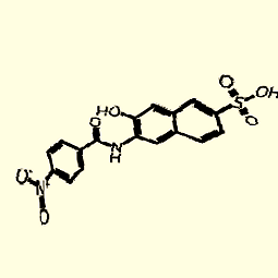 O=C(Nc1cc2ccc(S(=O)(=O)O)cc2cc1O)c1ccc([N+](=O)[O-])cc1